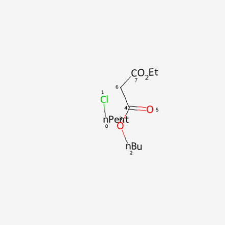 CCCCCCl.CCCCOC(=O)CC(=O)OCC